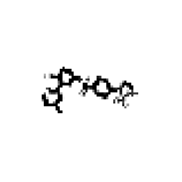 Cc1ccnc(-c2cc(NC(=O)c3ccc(N4CCNS4(=O)=O)cc3)ccc2Cl)c1